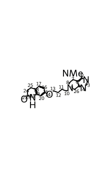 CNc1ncnc2c1CCN(CCCCOc1ccc3c(c1)NC(=O)CC3)C2